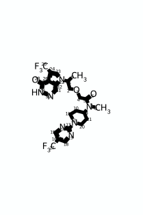 CC(COCC(=O)N(C)C1CCN(c2ncc(C(F)(F)F)cn2)CC1)n1cc(C(F)(F)F)c2c(=O)[nH]ncc21